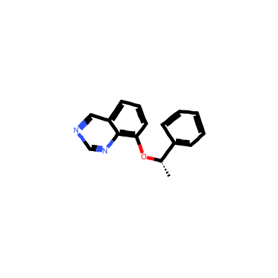 C[C@H](Oc1cccc2cncnc12)c1ccccc1